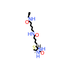 C#CCNC(=O)CCCCCNC(=O)CCCC[C@@H]1SC[C@]2(C)NC(=O)N[C@H]12